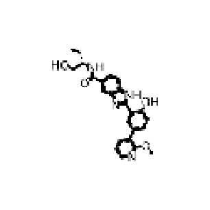 CC[C@@H](CO)NC(=O)c1ccc2[nH]c(-c3cc(-c4cccnc4OC)ccc3O)nc2c1